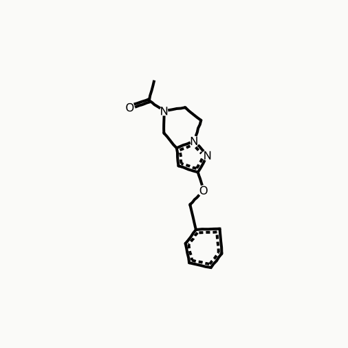 CC(=O)N1CCn2nc(OCc3ccccc3)cc2C1